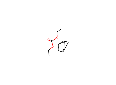 C1=C2CCC(C1)C2.CCOC(=O)OCC